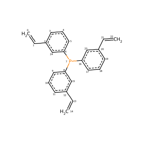 C=Cc1cccc(P(c2cccc(C=C)c2)c2cccc(C=C)c2)c1